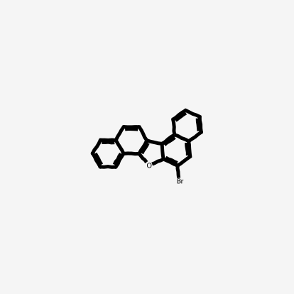 Brc1cc2ccccc2c2c1oc1c3ccccc3ccc12